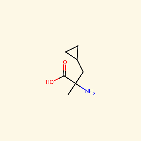 CC(N)(CC1CC1)C(=O)O